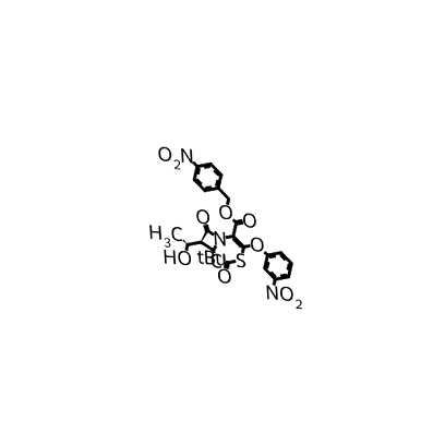 C[C@@H](O)[C@H]1C(=O)N(C(C(=O)OCc2ccc([N+](=O)[O-])cc2)=C(Oc2cccc([N+](=O)[O-])c2)SC(=O)C(C)(C)C)[C@H]1Cl